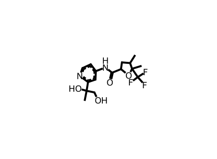 CC1CC(C(=O)Nc2ccnc(C(C)(O)CO)c2)OC1(C)C(F)(F)F